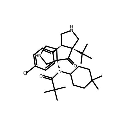 CC1(C)CCC(N(C(=O)C(C)(C)C)[C@@]2(C(=O)[C@@]3(C(C)(C)C)CNC[C@@H]3c3ccc(Cl)cc3)CCNC2)CC1